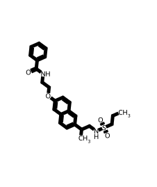 CCCS(=O)(=O)NCC(C)c1ccc2cc(OCCNC(=O)c3ccccc3)ccc2c1